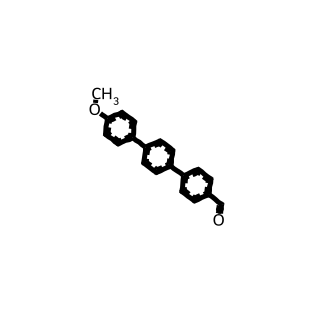 COc1ccc(-c2ccc(-c3ccc(C=O)cc3)cc2)cc1